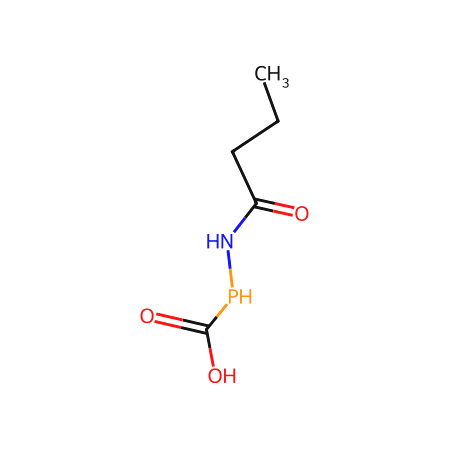 CCCC(=O)NPC(=O)O